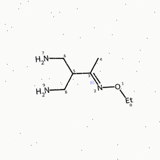 CCO/N=C(\C)C(CN)CN